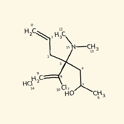 C=CCC(CC(C)O)(C(=C)Cl)N(C)C.Cl